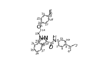 CC(C)c1ccc(NC(=O)c2nn(CCOc3ccc(F)cc3)c3ccccc23)cc1